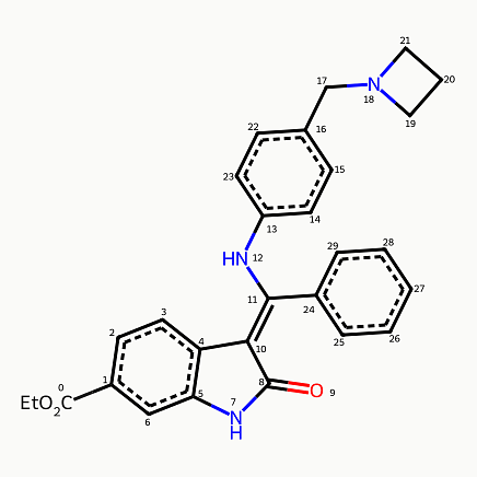 CCOC(=O)c1ccc2c(c1)NC(=O)C2=C(Nc1ccc(CN2CCC2)cc1)c1ccccc1